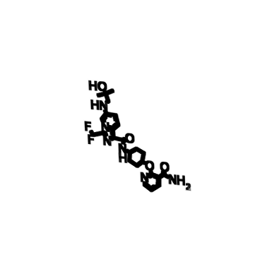 CC(C)(O)CNc1ccc2c(C(=O)NC3CCC(Oc4ncccc4C(N)=O)CC3)nc(C(F)F)n2c1